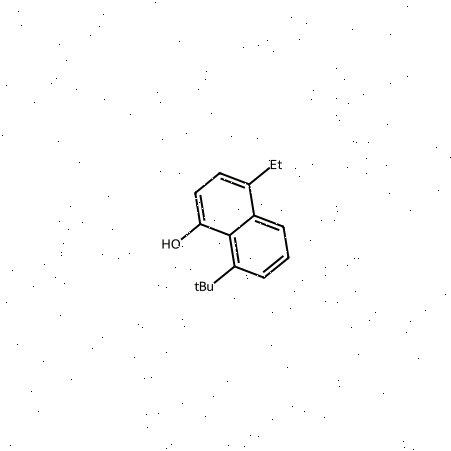 CCc1ccc(O)c2c(C(C)(C)C)cccc12